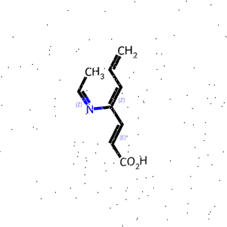 C=C/C=C(/C=C/C(=O)O)\N=C/C